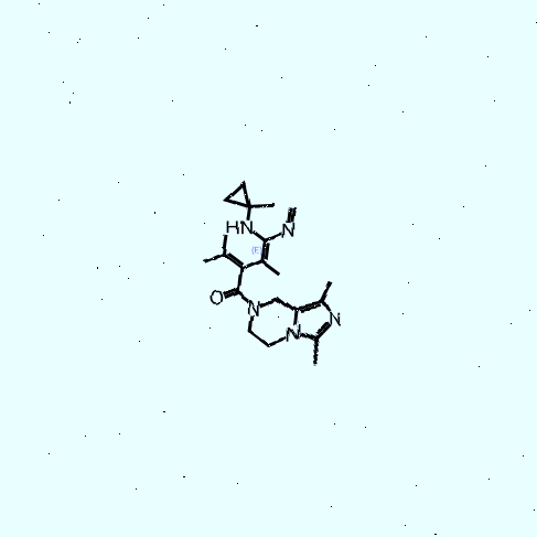 C=N/C(NC1(C)CC1)=C(\C)C(C(=O)N1CCn2c(C)nc(C)c2C1)=C(C)C